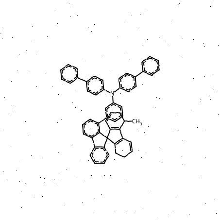 CC1CC=CC2=C1C1=C(CCC=C1)C21c2ccccc2-c2cccc(-c3cccc(N(c4ccc(-c5ccccc5)cc4)c4ccc(-c5ccccc5)cc4)c3)c21